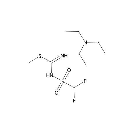 CCN(CC)CC.CSC(=N)NS(=O)(=O)C(F)F